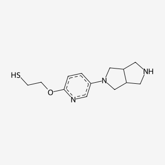 SCCOc1ccc(N2CC3CNCC3C2)cn1